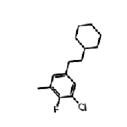 Cc1cc(CCC2CCCCC2)cc(Cl)c1F